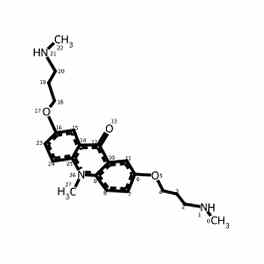 CNCCCOc1ccc2c(c1)c(=O)c1cc(OCCCNC)ccc1n2C